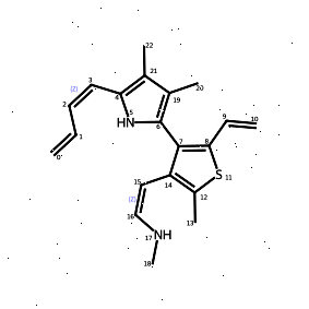 C=C/C=C\c1[nH]c(-c2c(C=C)sc(C)c2/C=C\NC)c(C)c1C